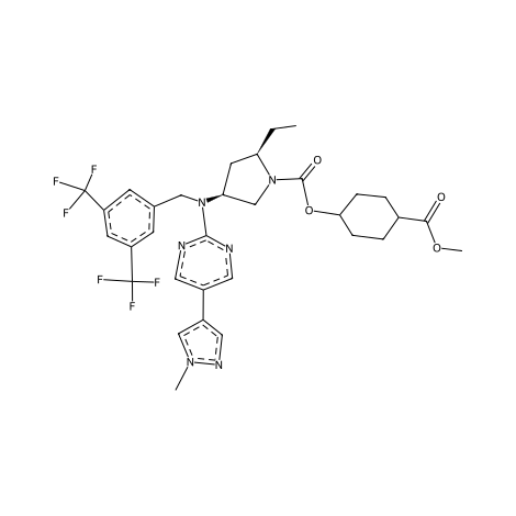 CC[C@@H]1C[C@H](N(Cc2cc(C(F)(F)F)cc(C(F)(F)F)c2)c2ncc(-c3cnn(C)c3)cn2)CN1C(=O)OC1CCC(C(=O)OC)CC1